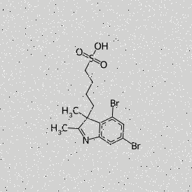 CC1=Nc2cc(Br)cc(Br)c2C1(C)CCCCS(=O)(=O)O